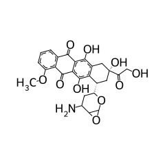 COc1cccc2c1C(=O)c1c(O)c3c(c(O)c1C2=O)C[C@@](O)(C(=O)CO)C[C@@H]3C1CC(N)C2OC2O1